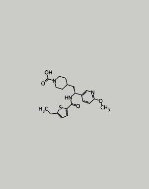 CCc1ccc(C(=O)N[C@@H](CC2CCN(C(=O)O)CC2)c2ccc(OC)nc2)s1